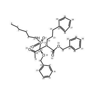 CCCCCNS(=O)(=O)[C@@](OCc1ccccc1)(C(C)=O)N(CCCc1ccccc1)C(=O)OCc1ccccc1